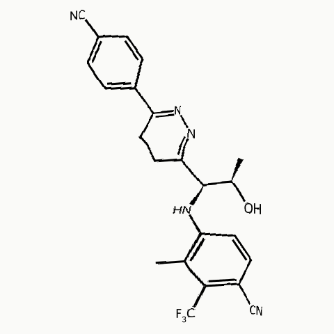 Cc1c(N[C@@H](C2=NN=C(c3ccc(C#N)cc3)CC2)[C@@H](C)O)ccc(C#N)c1C(F)(F)F